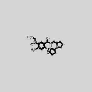 CC[S+]([O-])c1cc(C(=O)NCC2CCCN2C2CCCC2)c(OC)cc1N